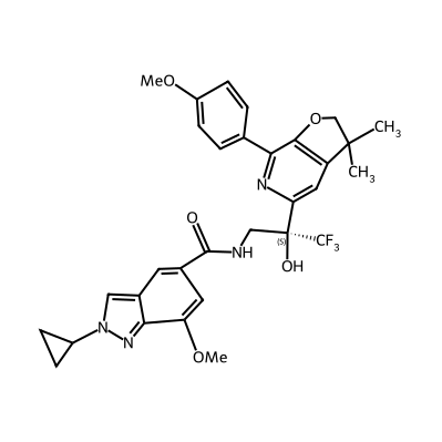 COc1ccc(-c2nc([C@@](O)(CNC(=O)c3cc(OC)c4nn(C5CC5)cc4c3)C(F)(F)F)cc3c2OCC3(C)C)cc1